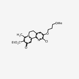 CCOC(=O)c1c(C)n2c(cc1=O)-c1nc(Cl)c(OCCCOC)cc1CC2